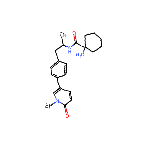 CCn1cc(-c2ccc(CC(C#N)NC(=O)C3(N)CCCCC3)cc2)ccc1=O